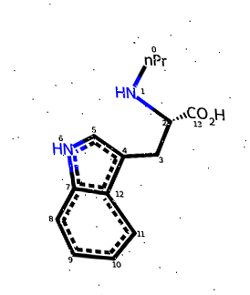 CCCN[C@@H](Cc1c[nH]c2ccccc12)C(=O)O